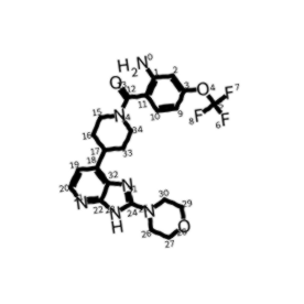 Nc1cc(OC(F)(F)F)ccc1C(=O)N1CCC(c2ccnc3[nH]c(N4CCOCC4)nc23)CC1